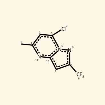 Cc1cc(Cl)n2nc(C(F)(F)F)cc2n1